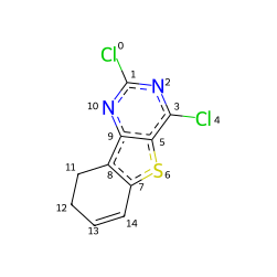 Clc1nc(Cl)c2sc3c(c2n1)CCC=C3